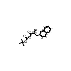 CC(C)(C)OC(=O)OC(=O)[C@@H](N)Cc1ccc2ccccc2c1